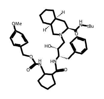 COc1ccc(COC(=O)NC2CCCCC2C(=O)N[C@@H](Cc2ccccc2)[C@H](O)CN2C[C@H]3CCCC[C@H]3C[C@H]2C(=O)NC(C)(C)C)cc1